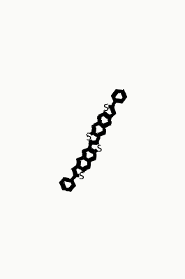 c1ccc(-c2cc3cc4cc5c(cc4cc3s2)sc2c3cc4cc6cc(-c7ccccc7)sc6cc4cc3sc52)cc1